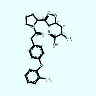 Cc1ccccc1Oc1ccc(CC(=O)N2CCCC2C2=NOC(CC(C)C(=O)O)C2)cc1